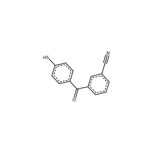 N#Cc1cccc(C(=O)c2ccc(S)cc2)c1